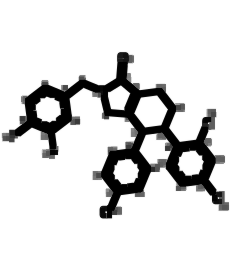 O=C1C2=C(CN1Cc1ccc(F)c(F)c1)C(c1ccc(Cl)cc1)C(c1ccc(Cl)cc1Cl)CC2